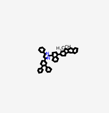 CC1(C)c2cc(-c3ccc(-c4nc(-c5ccccc5)cc(-c5ccc(-c6ccccc6)c(-c6ccccc6)c5)n4)c4ccccc34)ccc2-c2cc3ccccc3cc21